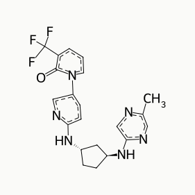 Cc1cnc(N[C@H]2CC[C@H](Nc3ccc(-n4cccc(C(F)(F)F)c4=O)cn3)C2)cn1